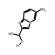 CCOC(O)c1cn2cc(N)ccc2n1